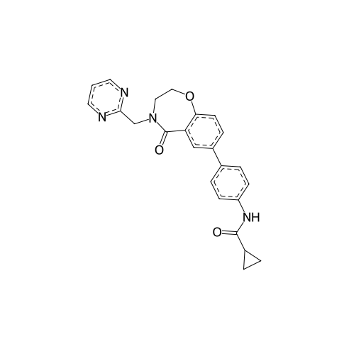 O=C(Nc1ccc(-c2ccc3c(c2)C(=O)N(Cc2ncccn2)CCO3)cc1)C1CC1